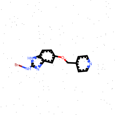 BrNc1nc2cc(OCc3ccncc3)ccc2[nH]1